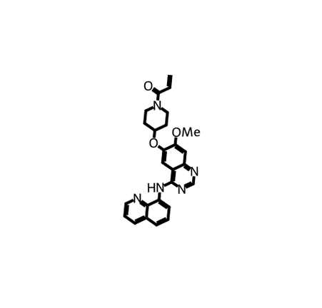 C=CC(=O)N1CCC(Oc2cc3c(Nc4cccc5cccnc45)ncnc3cc2OC)CC1